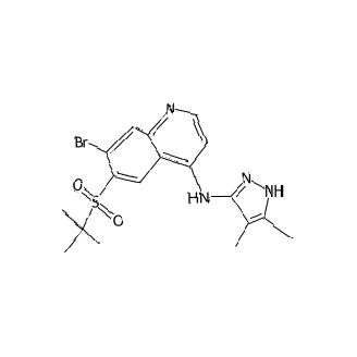 Cc1[nH]nc(Nc2ccnc3cc(Br)c(S(=O)(=O)C(C)(C)C)cc23)c1C